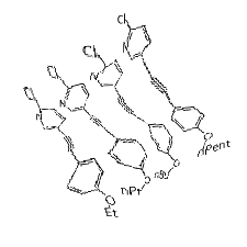 CCCCCOc1ccc(C#Cc2ccc(Cl)nc2)cc1.CCCCOc1ccc(C#Cc2ccc(Cl)nc2)cc1.CCCOc1ccc(C#Cc2ccc(Cl)nc2)cc1.CCOc1ccc(C#Cc2ccc(Cl)nc2)cc1